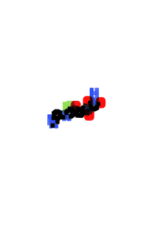 Cn1cc2c(CN3CCC4(COc5c4ccc4c5CN([C@H]5CCC(=O)NC5=O)C4=O)C(F)(F)C3)cccc2n1